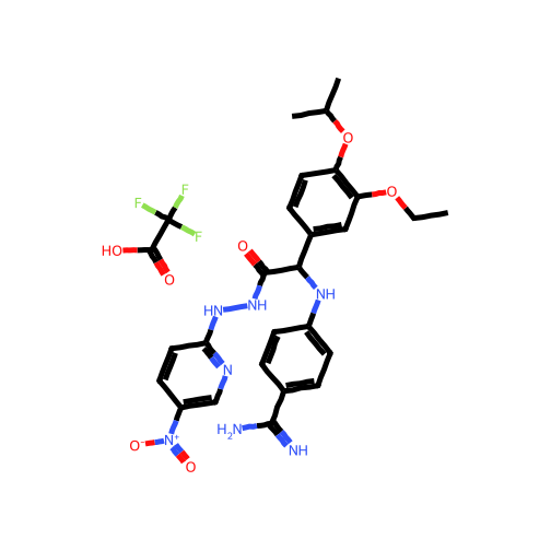 CCOc1cc(C(Nc2ccc(C(=N)N)cc2)C(=O)NNc2ccc([N+](=O)[O-])cn2)ccc1OC(C)C.O=C(O)C(F)(F)F